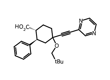 CC(C)(C)COC1(C#Cc2cnccn2)CC[C@@H](C(=O)O)[C@H](c2ccccc2)C1